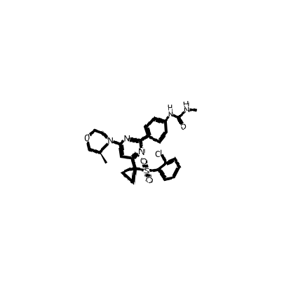 CNC(=O)Nc1ccc(-c2nc(N3CCOC[C@@H]3C)cc(C3(S(=O)(=O)c4ccccc4Cl)CC3)n2)cc1